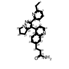 CCc1cccc(-c2nn3c(c2-c2ccnc4cc(CCC(N)=O)ccc24)CCC3)n1